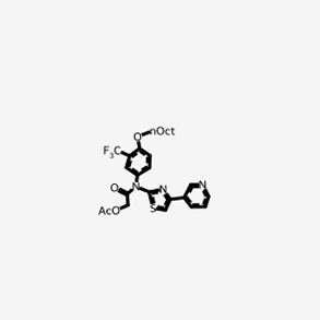 CCCCCCCCOc1ccc(N(C(=O)COC(C)=O)c2nc(-c3cccnc3)cs2)cc1C(F)(F)F